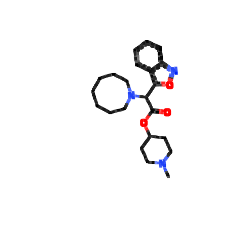 CN1CCC(OC(=O)C(c2onc3ccccc23)N2CCCCCCC2)CC1